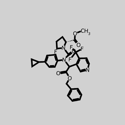 COC(=O)[C@H]1CCCN1C(=O)N(c1ccc(C2CC2)cc1F)C(C(=O)OCc1ccccc1)c1cnccc1C(F)(F)F